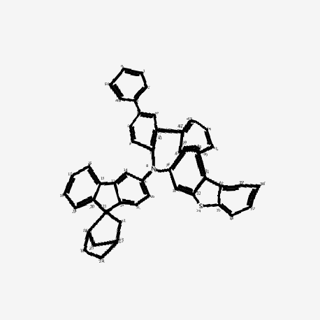 c1ccc(-c2ccc(N(c3ccc4c(c3)-c3ccccc3C43CC4CCC3C4)c3ccc4c(c3)sc3ccccc34)c(-c3ccccc3)c2)cc1